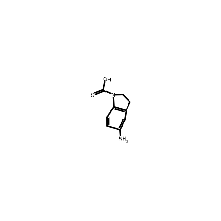 Nc1ccc2c(c1)CCN2C(=O)O